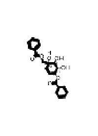 O=C(OC[C@@]1(O)C=C[C@@H](OC(=O)c2ccccc2)[C@@H](O)[C@@H]1O)c1ccccc1